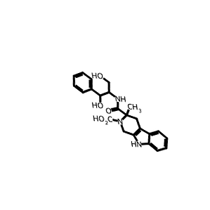 CC1(C(=O)NC(CO)C(O)c2ccccc2)Cc2c([nH]c3ccccc23)CN1C(=O)O